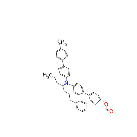 CCCC(CCCc1ccccc1)N(c1ccc(-c2ccc(C)cc2)cc1)c1ccc(-c2ccc(OC=O)cc2)cc1